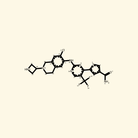 NC(=O)c1csc(-c2nc(Nc3cc4c(cc3Cl)CN(C3CNC3)CC4)ncc2C(F)(F)F)c1